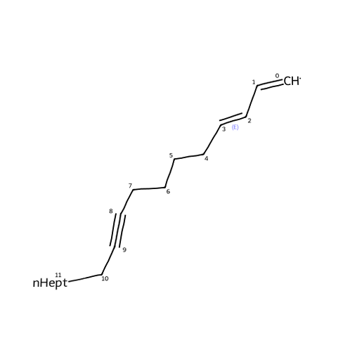 [CH]=C/C=C/CCCCC#CCCCCCCCC